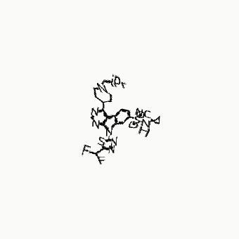 CC(C)CN1CCC(c2ncnc3c2c2ccc(S(=O)(=O)NC4(C#N)CC4)cc2n3-c2nnc(C(F)F)s2)CC1